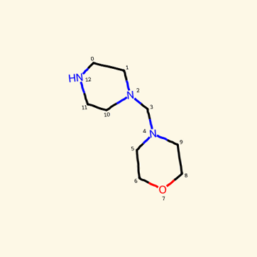 C1CN(CN2CCOCC2)CCN1